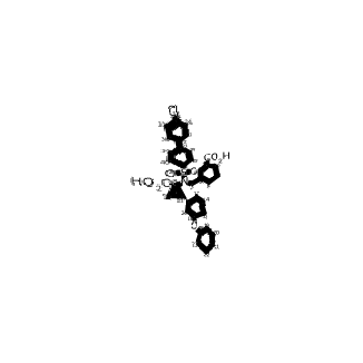 O=C(O)c1cccc(CN([C@]2(C(=O)O)C[C@H]2c2cccc(Oc3ccccc3)c2)S(=O)(=O)c2ccc(-c3ccc(Cl)cc3)cc2)c1